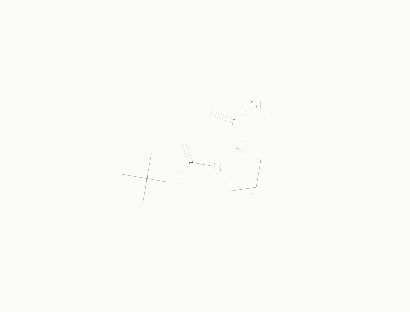 CC(C)(C)OC(=O)N1C[C@@H](O)C[C@H]1C(N)=O